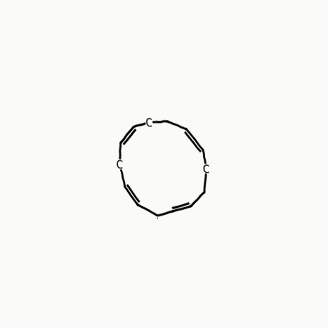 [CH]1C=CCC=CCCC=CCCC=C1